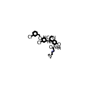 CN(C)C/C=C/C(=O)Nc1cc2c(Nc3ccc(OCc4cccc(Cl)c4)c(Cl)c3)c(C#N)cnc2cc1O